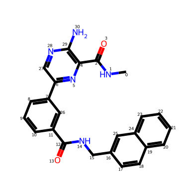 CNC(=O)c1nc(-c2cccc(C(=O)NCc3ccc4ccccc4c3)c2)cnc1N